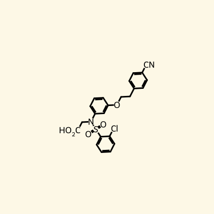 N#Cc1ccc(CCOc2cccc(N(CC(=O)O)S(=O)(=O)c3ccccc3Cl)c2)cc1